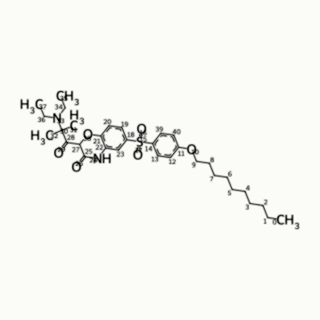 CCCCCCCCCCOc1ccc(S(=O)(=O)c2ccc3c(c2)NC(=O)C(C(=O)C(C)(C)N(CC)CC)O3)cc1